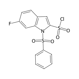 O=S(=O)(Cl)c1cc2ccc(F)cc2n1S(=O)(=O)c1ccccc1